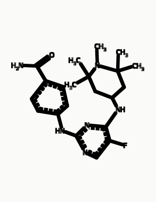 CN1C(C)(C)CC(Nc2nc(Nc3ccc(C(N)=O)cc3)ncc2F)CC1(C)C